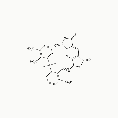 CC(C)(c1cccc(C(=O)O)c1C(=O)O)c1cccc(C(=O)O)c1C(=O)O.O=c1oc(=O)c2nc3c(=O)oc(=O)c3nc12